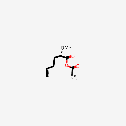 C=CCC[C@H](NC)C(=O)OC(=O)C(F)(F)F